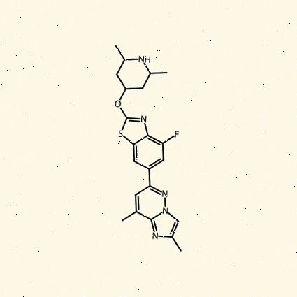 Cc1cn2nc(-c3cc(F)c4nc(OC5CC(C)NC(C)C5)sc4c3)cc(C)c2n1